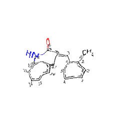 Cc1ccccc1C=C1C(=O)Nc2ccccc21